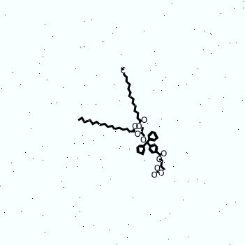 CCCCCCCCCCCCCCCC(=O)OCC(COC(c1ccccc1)(c1ccccc1)c1ccc(C(=O)OCC2COC(=O)O2)cc1)OC(=O)CCCCCCCCCCCCCCC